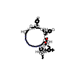 C=CCOC(=O)N[C@H]1[C@H](O)COC(OC2/C=C/C=C/C=C/C=C/C=C/C=C/C=C/[C@H](C)[C@@H](O)[C@@H](C)[C@H](C)OC(=O)C[C@H]3CC(CCC(O)C4CC(CC5(OC)C[C@H](O)C(C(=O)OCC=C)[C@H](C2)O5)OC(c2ccc(OC)cc2)O4)OC(c2ccc(OC)cc2)O3)[C@H]1OC(=O)c1ccc(C(C)(C)C)cc1